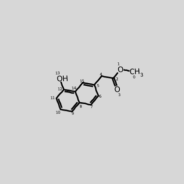 COC(=O)Cc1ccc2cccc(O)c2c1